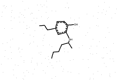 CCCCC(C)Nc1cc(CCC)ccc1O